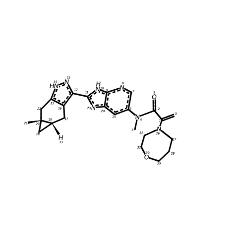 C=C(C(=O)N(C)c1cnc2[nH]c(-c3n[nH]c4c3C[C@@H]3C[C@]3(C)C4)nc2c1)N1CCCOCC1